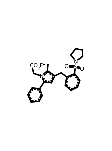 CCOC(=O)Cn1c(-c2ccccc2)cc(Cc2ccccc2S(=O)(=O)N2CCCC2)c1C